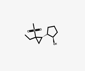 CCC1(S(C)(=O)=O)C[C@H]1C1CCC[C@H]1O